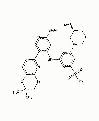 CO[C@H]1CCCN(c2cc(Nc3cc(NC(C)=O)ncc3-c3ccc4c(n3)OCC(C)(C)O4)nc(S(C)(=O)=O)c2)C1